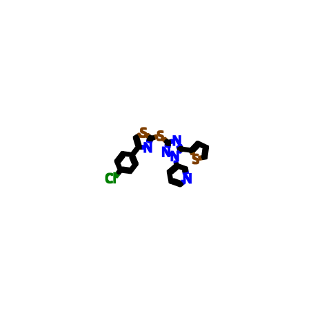 Clc1ccc(-c2csc(Sc3nc(-c4cccs4)n(-c4cccnc4)n3)n2)cc1